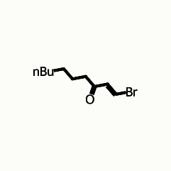 CCCCCCCC(=O)/C=C/Br